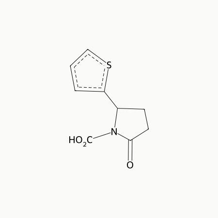 O=C(O)N1C(=O)CCC1c1cccs1